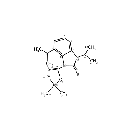 CC(C)c1cccc2c1n(C(=O)OC(C)(C)C)c(=O)n2C(C)C